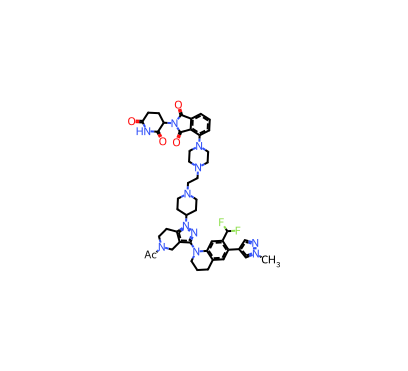 CC(=O)N1CCc2c(c(N3CCCc4cc(-c5cnn(C)c5)c(C(F)F)cc43)nn2C2CCN(CCN3CCN(c4cccc5c4C(=O)N(C4CCC(=O)NC4=O)C5=O)CC3)CC2)C1